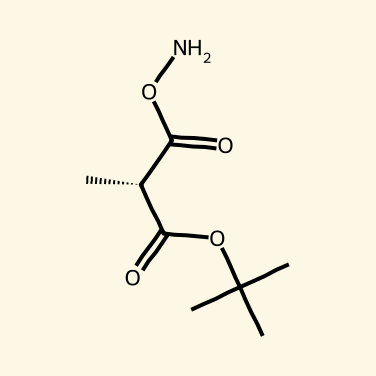 C[C@H](C(=O)ON)C(=O)OC(C)(C)C